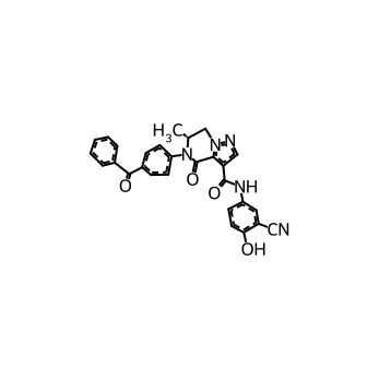 C[C@H]1Cn2ncc(C(=O)Nc3ccc(O)c(C#N)c3)c2C(=O)N1c1ccc(C(=O)c2ccccc2)cc1